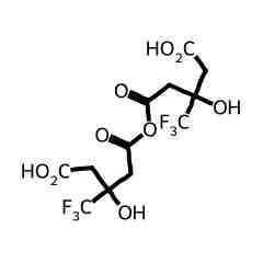 O=C(O)CC(O)(CC(=O)OC(=O)CC(O)(CC(=O)O)C(F)(F)F)C(F)(F)F